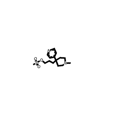 CN1CCC(CCCOS(C)(=O)=O)(c2ccncc2)CC1